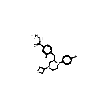 NNC(=O)c1ccc(CC2CN(C3COC3)CCN2c2ccc(F)cc2)c(F)c1